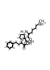 CNCCCC[C@H](N)C(=O)[C@@]1(C(=O)O)CCCN1C(CCc1ccccc1)C(=O)O